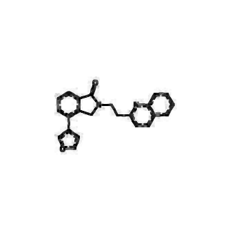 O=C1c2cccc(-c3ccoc3)c2CN1CCc1ccc2ccccc2n1